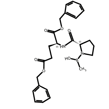 CB(O)N1CCC[C@H]1C(=O)N[C@@H](CCC(=O)OCc1ccccc1)C(=O)OCc1ccccc1